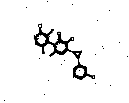 Cc1cnc(Cl)c(F)c1-n1c(C)cc([C@H]2C[C@@H]2c2cncc(Cl)c2)c(Cl)c1=O